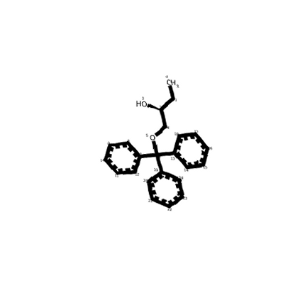 CC[C@H](O)COC(c1ccccc1)(c1ccccc1)c1ccccc1